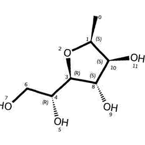 C[C@@H]1O[C@H]([C@H](O)CO)[C@@H](O)[C@@H]1O